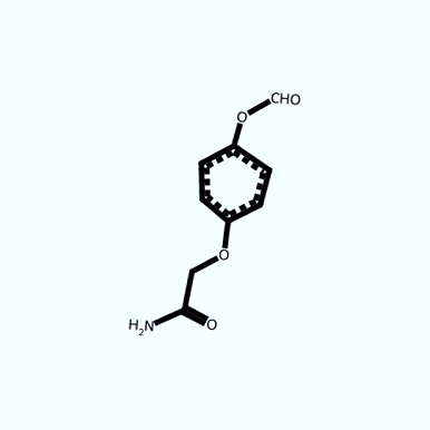 NC(=O)COc1ccc(OC=O)cc1